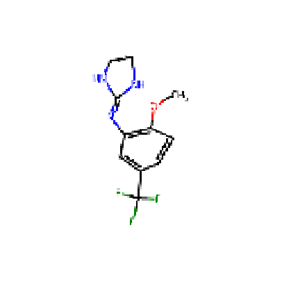 COc1ccc(C(F)(F)F)cc1N=C1NCCN1